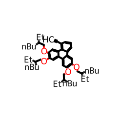 C#Cc1cccc2c3cc(OCC(CC)CCCC)c(OCC(CC)CCCC)cc3c3cc(OCC(CC)CCCC)c(OCC(CC)CCCC)cc3c12